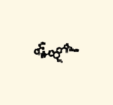 CCCNCc1ncc(-c2ccc3c(c2)CN(C)Cc2cc(-c4cnc([C@@H]5CCCN5C(=O)OC(C)(C)C)[nH]4)ccc2-3)[nH]1